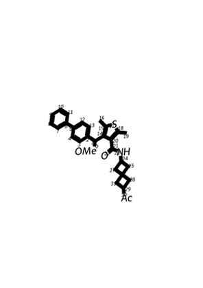 COC(c1ccc(-c2ccccc2)cc1)c1c(C)sc(C)c1C(=O)NC1CC2(C1)CC(C(C)=O)C2